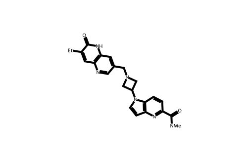 CCc1cc2ncc(CN3CC(n4ccc5nc(C(=O)NC)ccc54)C3)cc2[nH]c1=O